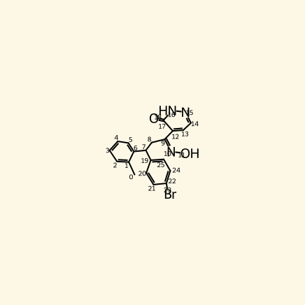 Cc1ccccc1C(CC(=NO)c1ccn[nH]c1=O)c1ccc(Br)cc1